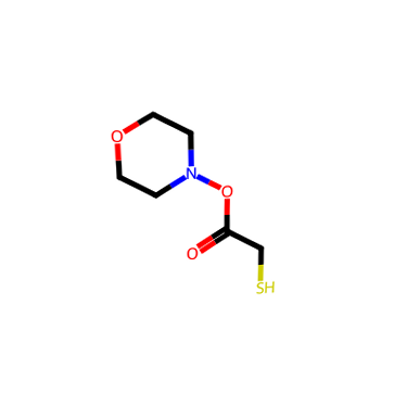 O=C(CS)ON1CCOCC1